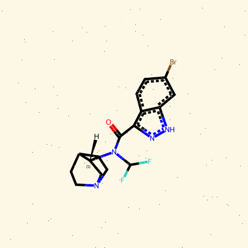 O=C(c1n[nH]c2cc(Br)ccc12)N(C(F)F)[C@@H]1CN2CCC1CC2